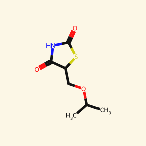 CC(C)OCC1SC(=O)NC1=O